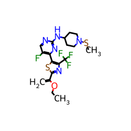 C=C(OCC)c1nc(C(F)(F)F)c(-c2nc(NC3CCN(SC)CC3)ncc2F)s1